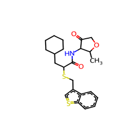 CC1OCC(=O)C1NC(=O)C(CC1CCCCC1)SCc1csc2ccccc12